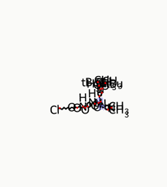 CN(C)c1ccc(/C=C2N=C(/C=C/c3ccc(N(CCO[Si](C)(C)C(C)(C)C)CCO[Si](C)(C)C(C)(C)C)cc3)N(CC(=O)N[C@H]3CC[C@H](C(=O)NCCOCCOCCCCCCCl)CC3)C\2=O)cc1